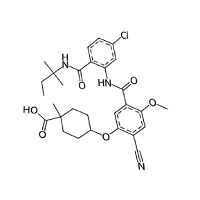 CCC(C)(C)NC(=O)c1ccc(Cl)cc1NC(=O)c1cc(OC2CCC(C)(C(=O)O)CC2)c(C#N)cc1OC